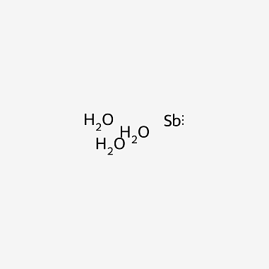 O.O.O.[Sb]